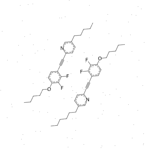 CCCCCCc1ccc(C#Cc2ccc(OCCCCC)c(F)c2F)nc1.CCCCCOc1ccc(C#Cc2ccc(CCCCC)cn2)c(F)c1F